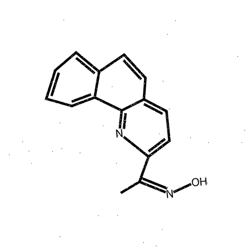 C/C(=N/O)c1ccc2ccc3ccccc3c2n1